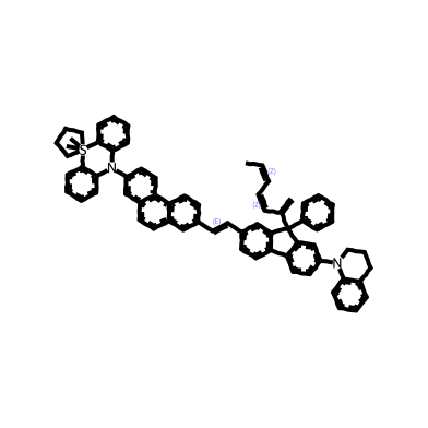 C=C(/C=C\C=C/C)C1(c2ccccc2)c2cc(/C=C/c3ccc4c(ccc5cc(N6c7ccccc7S7(C)(C)(CCCC7)c7ccccc76)ccc54)c3)ccc2-c2ccc(N3CCCc4ccccc43)cc21